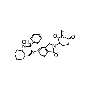 CN(Cc1ccccc1)[C@H]1CCCCC1/C=N/c1ccc2c(c1)CN(C1CCC(=O)NC1=O)C2=O